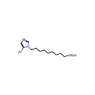 CCCCCCCCCCCCCCCCCCN1[CH]=[Sb][CH]=C1Br